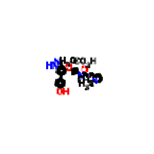 CC(=O)O.CN1CCCC1/C=C/C(=O)N(C)C1CC(Oc2cc(-c3ccc(O)cc3)cc3[nH]ncc23)C1